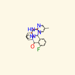 Cc1ccc(NC2CC3CCC2N(C(=O)c2c(F)cccc2-c2ncccn2)C3)nc1